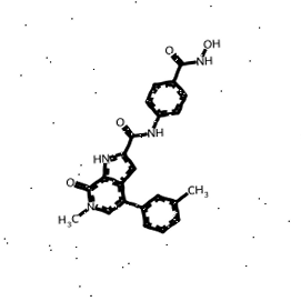 Cc1cccc(-c2cn(C)c(=O)c3[nH]c(C(=O)Nc4ccc(C(=O)NO)cc4)cc23)c1